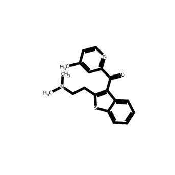 Cc1ccnc(C(=O)c2c(CCN(C)C)sc3ccccc23)c1